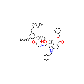 CCOC(=O)CCc1cc(OC)c(OC2CCN(CC(O)(c3cn(Cc4ccccc4)c4ccc(C(=O)OCc5ccccc5)cc34)C(F)(F)F)CC2)c(OC)c1